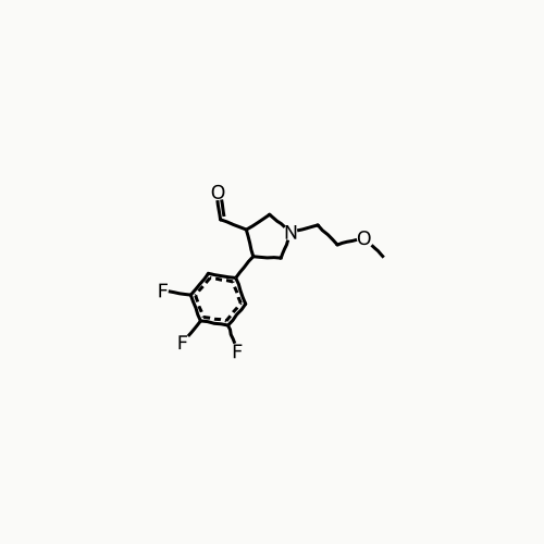 COCCN1CC(C=O)C(c2cc(F)c(F)c(F)c2)C1